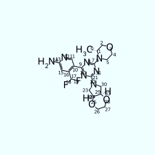 C[C@@H]1COCCN1c1nc(-c2cnc(N)cc2C(F)F)nc(N2C[C@@H]3OCCO[C@@H]3C2)n1